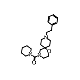 O=C(N1CCCCC1)N1CCOC2(CCN(CCc3ccccc3)CC2)C1